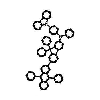 c1ccc(-c2c3ccccc3c(-c3ccccc3)c3cc(-c4ccc5c(c4)C(c4ccccc4)(c4ccccc4)c4cc(N(c6ccccc6)c6ccc(-n7c8ccccc8c8ccccc87)cc6)ccc4-5)ccc23)cc1